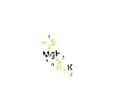 S.S.[KH].[MgH2]